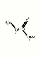 CO[PH](=O)O[SiH3]